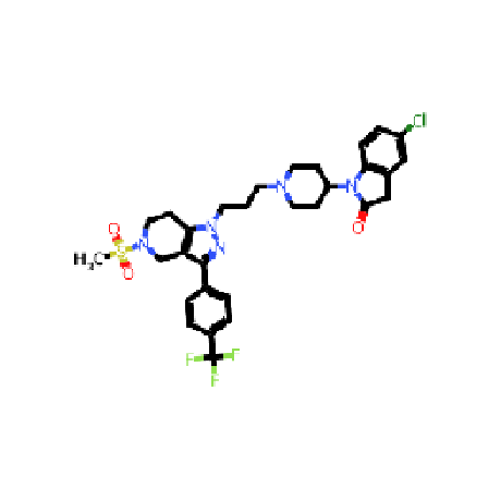 CS(=O)(=O)N1CCc2c(c(-c3ccc(C(F)(F)F)cc3)nn2CCCN2CCC(N3C(=O)Cc4cc(Cl)ccc43)CC2)C1